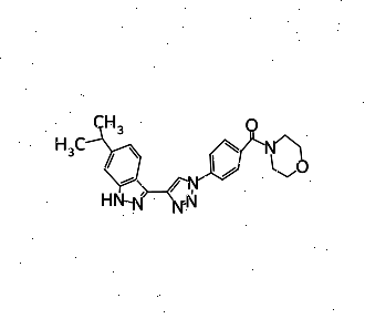 CC(C)c1ccc2c(-c3cn(-c4ccc(C(=O)N5CCOCC5)cc4)nn3)n[nH]c2c1